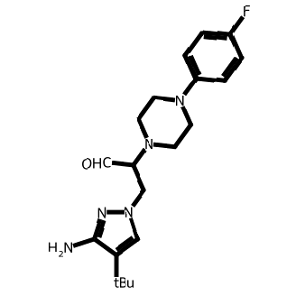 CC(C)(C)c1cn(CC(C=O)N2CCN(c3ccc(F)cc3)CC2)nc1N